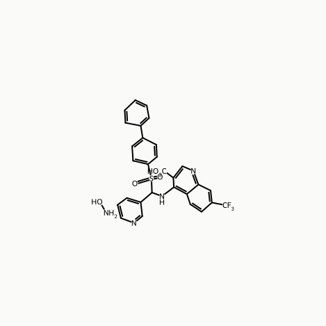 NO.O=C(O)c1cnc2cc(C(F)(F)F)ccc2c1NC(c1cccnc1)S(=O)(=O)c1ccc(-c2ccccc2)cc1